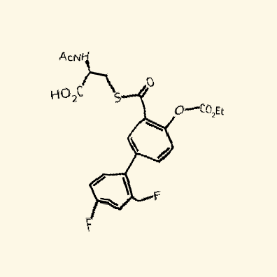 CCOC(=O)Oc1ccc(-c2ccc(F)cc2F)cc1C(=O)SC[C@H](NC(C)=O)C(=O)O